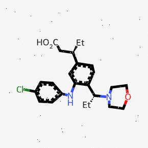 CC[C@H](CC(=O)O)c1ccc([C@@H](CC)N2CCOCC2)c(Nc2ccc(Cl)cc2)c1